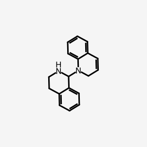 C1=Cc2ccccc2N(C2NCCc3ccccc32)C1